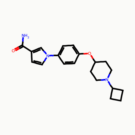 NC(=O)c1ccn(-c2ccc(OC3CCN(C4CCC4)CC3)cc2)c1